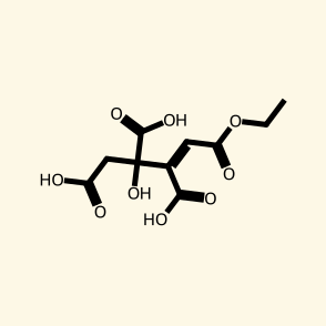 CCOC(=O)C=C(C(=O)O)C(O)(CC(=O)O)C(=O)O